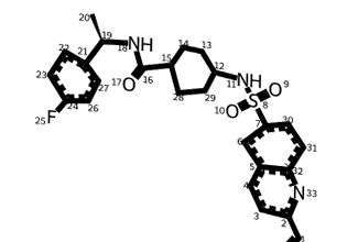 C=Cc1ccc2cc(S(=O)(=O)NC3CCC(C(=O)N[C@H](C)c4ccc(F)cc4)CC3)ccc2n1